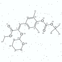 CCOC(=O)/C(=C/c1cc(C)c(OC(=O)OC(C)(C)C)c(C)c1)OC1CCCCO1